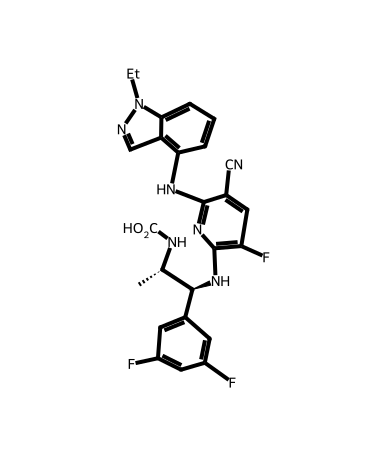 CCn1ncc2c(Nc3nc(N[C@@H](c4cc(F)cc(F)c4)[C@H](C)NC(=O)O)c(F)cc3C#N)cccc21